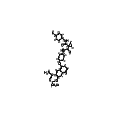 CCOC(=O)COc1cc2nccc(Oc3ccc(NC(=O)C4(C(=O)Nc5ccc(F)cc5)CC4)cc3)c2cc1C(N)=O